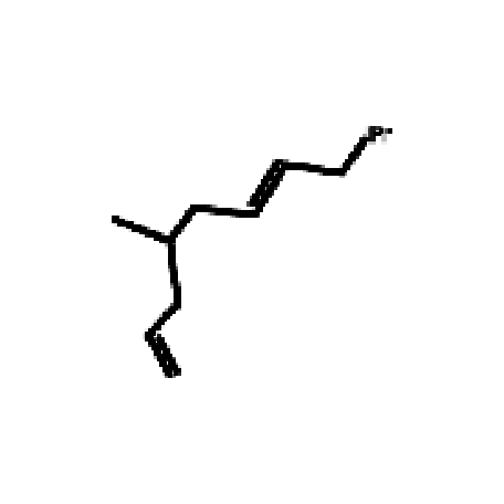 C=CCC(C)CC=CCC(C)C